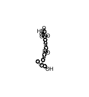 O=C1CCC(N2C(=O)c3cc4c(cc3C2=O)CN(C2CCN(C(=O)C3(F)CCN(c5ccc([C@@H]6c7ccc(O)cc7CC[C@@H]6c6ccccc6)cc5)CC3)CC2)C4)C(=O)N1